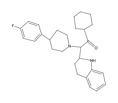 O=C(C1CCCCC1)C(C1CCc2ccccc2N1)N1CCC(c2ccc(F)cc2)CC1